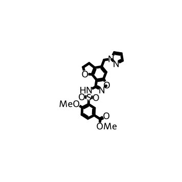 COC(=O)c1ccc(OC)c(S(=O)(=O)Nc2noc3cc(Cn4cccn4)c4c(c23)OCC4)c1